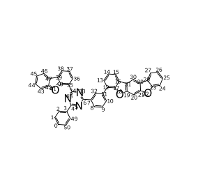 c1ccc(-c2nc(-c3cccc(-c4cccc5c4oc4cc6oc7ccccc7c6cc45)c3)nc(-c3cccc4c3oc3ccccc34)n2)cc1